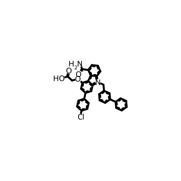 NC(=O)c1cccc2c1c1c(OCC(=O)O)cc(-c3ccc(Cl)cc3)cc1n2Cc1cccc(-c2ccccc2)c1